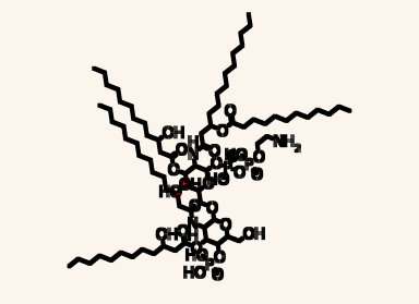 CCCCCCCCCCCC(=O)OC(CCCCCCCCCCC)CC(=O)NC1C(OP(=O)(O)OP(=O)(O)OCCN)OC(COC2OC(CO)C(OP(=O)(O)O)C(OC(=O)CC(O)CCCCCCCCC)C2NC(=O)CC(O)CCCCCCCCCCC)C(O)C1OC(=O)CC(O)CCCCCCCCC